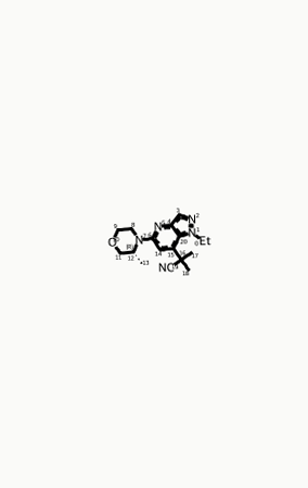 CCn1ncc2nc(N3CCOC[C@H]3C)cc(C(C)(C)C#N)c21